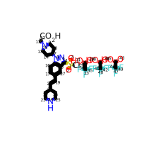 CS(=O)(=O)c1nn(C2CCN(CC(=O)O)CC2)c2ccc(C=CC3CCNCC3)cc12.O=C(O)C(F)(F)F.O=C(O)C(F)(F)F.O=C(O)C(F)(F)F